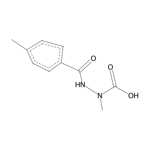 Cc1ccc(C(=O)NN(C)C(=O)O)cc1